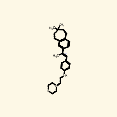 C/C(=C\c1ccc(NCCN2CCSCC2)cc1)c1ccc2c(c1)CCC(C)(C)CC2